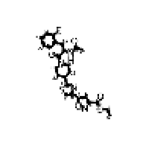 CCOC(=O)c1cc(-c2csc(C3CCN(C(=O)C(Cc4ccccc4F)NC(C)=O)CC3)n2)on1